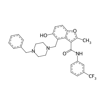 Cc1oc2ccc(O)c(CN3CCN(Cc4ccccc4)CC3)c2c1C(=O)Nc1cccc(C(F)(F)F)c1